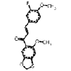 COc1ccc(/C=C/C(=O)c2cc3c(cc2OC)SCO3)cc1F